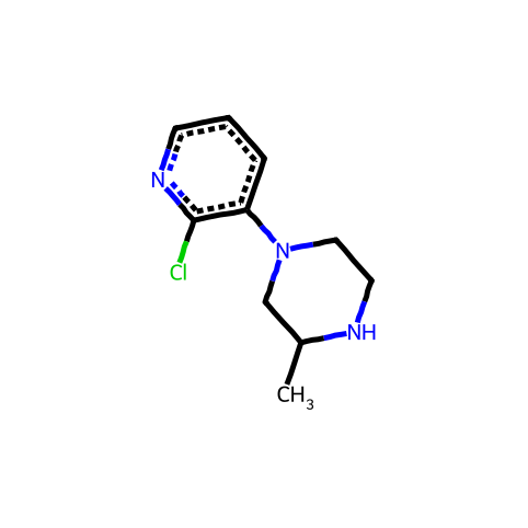 CC1CN(c2cccnc2Cl)CCN1